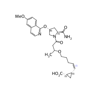 COc1ccc2c(O[C@@H]3C[C@@H](C(N)=O)N(C(=O)CC(C)OCCC/C=C\[C@@H]4C[C@@H]4C(=O)O)C3)nccc2c1